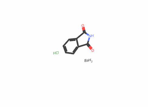 Cl.O=C1NC(=O)c2ccccc21.[BaH2]